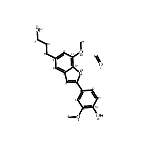 C=O.COc1cc(-c2cc3cc(CCCO)cc(OC)c3o2)ccc1O